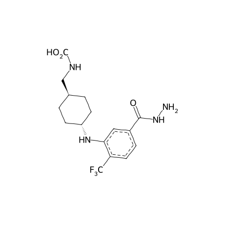 NNC(=O)c1ccc(C(F)(F)F)c(N[C@H]2CC[C@H](CNC(=O)O)CC2)c1